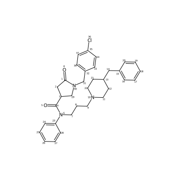 O=C1CC(C(=O)N(CCCN2CCC(Cc3ccccc3)CC2)c2ccccc2)CN1Cc1ccc(Cl)cc1